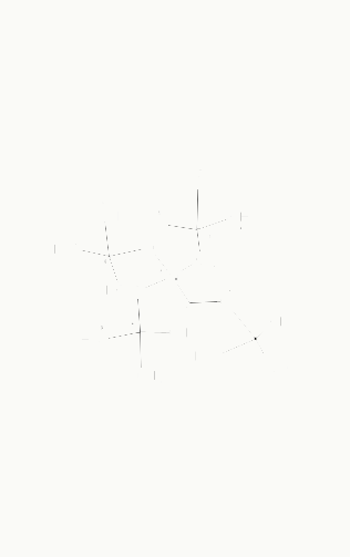 CC(C)(C)OC[Si](OC(C)(C)C)(OC(C)(C)C)OC(C)(C)C